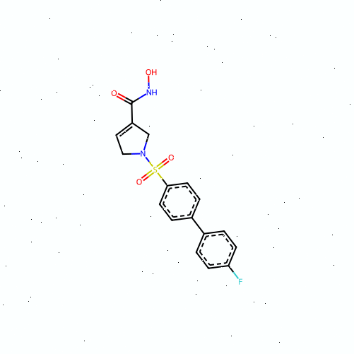 O=C(NO)C1=CCN(S(=O)(=O)c2ccc(-c3ccc(F)cc3)cc2)C1